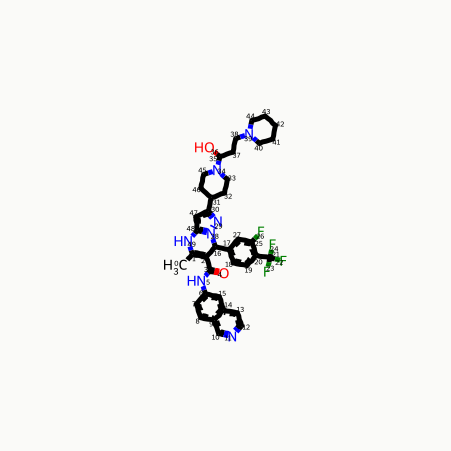 CC1=C(C(=O)Nc2ccc3cnccc3c2)C(c2ccc(C(F)(F)F)c(F)c2)n2nc(C3CCN(C(O)CCN4CCCCC4)CC3)cc2N1